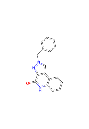 O=c1[nH]c2ccccc2c2cn(Cc3ccccc3)nc12